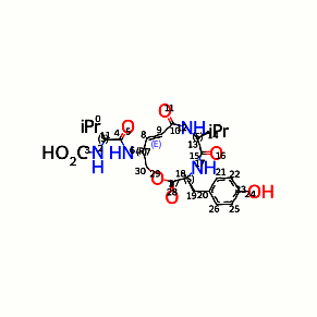 CC(C)[C@H](NC(=O)O)C(=O)N[C@@H]1/C=C/C(=O)N[C@@H](C(C)C)C(=O)N[C@@H](Cc2ccc(O)cc2)C(=O)OC1